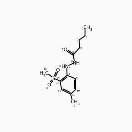 CCCCC(=O)NNc1ccc(C)cc1S(C)(=O)=O